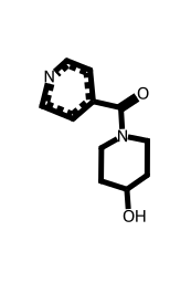 O=C(c1ccncc1)N1CCC(O)CC1